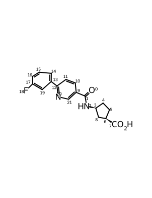 O=C(N[C@H]1CC[C@@H](C(=O)O)C1)c1ccc(-c2cccc(F)c2)nc1